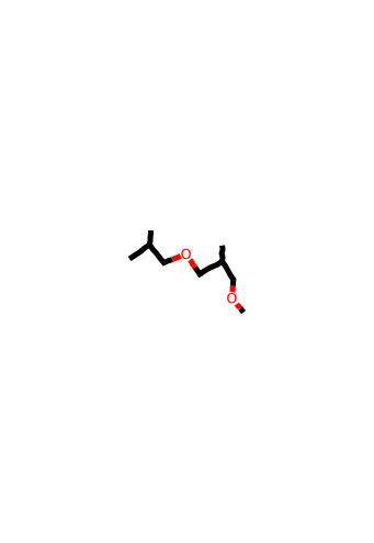 COCC(C)COCC(C)C